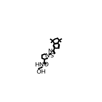 CC1(C)CCC(C)(C)c2cc(-c3csc(N4CCCC(C(=O)NCCO)C4)n3)ccc21